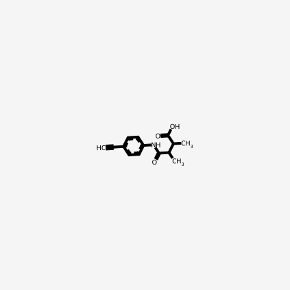 C#Cc1ccc(NC(=O)C(C)C(C)C(=O)O)cc1